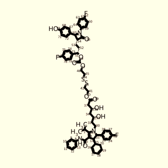 CC(C)C1=C(C(=O)Nc2ccccc2)C(C2C=CC=CC2)C(c2ccc(F)cc2)N1CC[C@@H](O)C[C@@H](O)CC(=O)OCCSSCCOC(=O)O[C@@H](CC[C@H]1C(=O)N(c2ccc(F)cc2)C1c1ccc(O)cc1)c1ccc(F)cc1